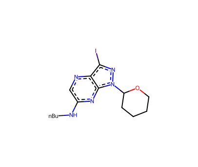 CCCCNc1cnc2c(I)nn(C3CCCCO3)c2n1